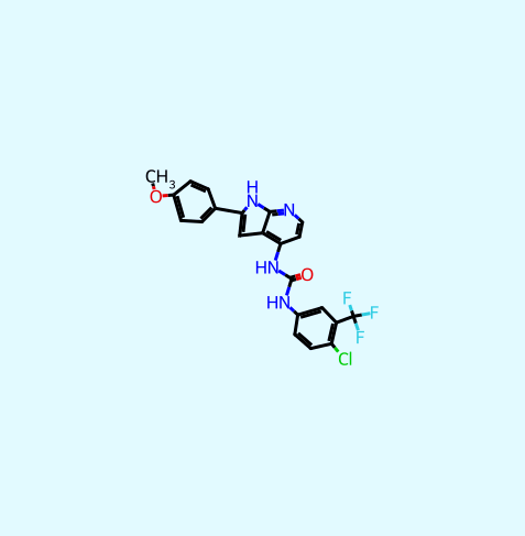 COc1ccc(-c2cc3c(NC(=O)Nc4ccc(Cl)c(C(F)(F)F)c4)ccnc3[nH]2)cc1